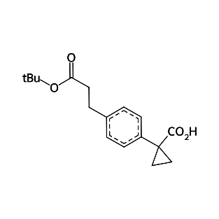 CC(C)(C)OC(=O)CCc1ccc(C2(C(=O)O)CC2)cc1